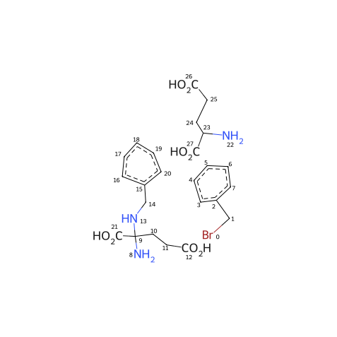 BrCc1ccccc1.NC(CCC(=O)O)(NCc1ccccc1)C(=O)O.NC(CCC(=O)O)C(=O)O